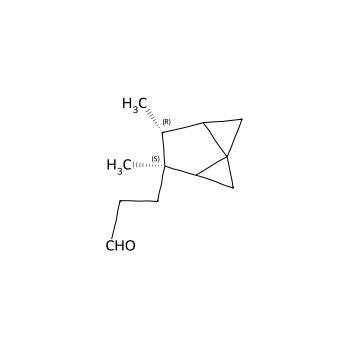 C[C@@H]1C2CC23CC3[C@@]1(C)CCC=O